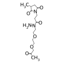 CC(=O)COCCOCCN(N)C(=O)CCN1C(=O)CC(C)C1=O